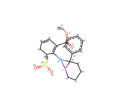 CC(C)(C)OC(=O)C1=C(N2I3CCCCC23c2ccccc2)C(=S(=O)=O)CC=C1